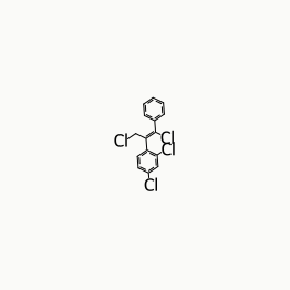 ClCC(=C(Cl)c1ccccc1)c1ccc(Cl)cc1Cl